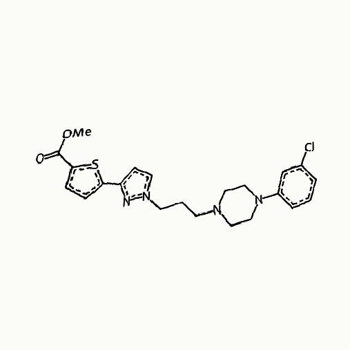 COC(=O)c1ccc(-c2ccn(CCCN3CCN(c4cccc(Cl)c4)CC3)n2)s1